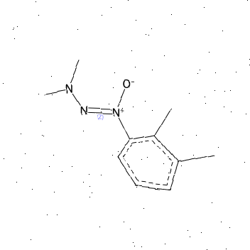 Cc1cccc(/[N+]([O-])=N/N(C)C)c1C